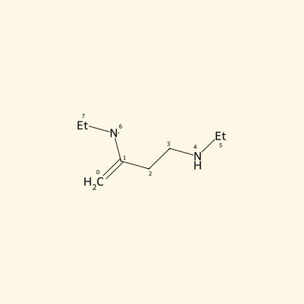 C=C(CCNCC)[N]CC